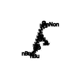 CCCCCCCCCSC(=O)C(C)(C)CCCCCC(CCCCCC(C)(C)C(=O)OCC#CC(CCCC)CCCC)OC(=O)CCCN(C)C